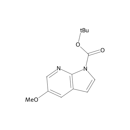 COc1cnc2c(ccn2C(=O)OC(C)(C)C)c1